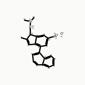 CC1=Cc2c(-c3cccc4ccccc34)cc(C(C)C)cc2[CH]1[Zr+2][Si](C)C.[Cl-].[Cl-]